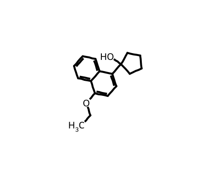 CCOc1ccc(C2(O)CCCC2)c2ccccc12